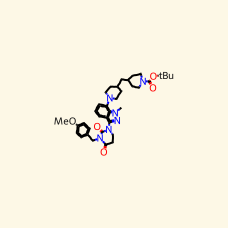 COc1ccc(CN2C(=O)CCN(c3nn(C)c4c(N5CCC(CC6CCN(C(=O)OC(C)(C)C)CC6)CC5)cccc34)C2=O)cc1